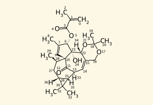 C=C(C)C(=O)O[C@H]1C(C)=C[C@]23C(=O)[C@@H](C=C4COC(C)(C)O[C@H]4[C@]12O)[C@H]1[C@@H](C[C@H]3C)C1(C)C